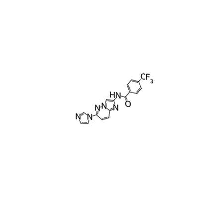 O=C(Nc1cn2nc(-n3ccnc3)ccc2n1)c1ccc(C(F)(F)F)cc1